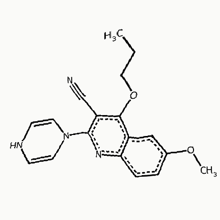 CCCOc1c(C#N)c(N2C=CNC=C2)nc2ccc(OC)cc12